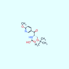 COc1ccc(C(=O)[C@H](COC(C)(C)C)NC(=O)O)cn1